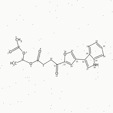 CC(=O)OC(C)OC(=O)CCC(=O)c1cc(-c2c[nH]c3ccccc23)co1